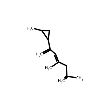 C=C(C)C/C(C)=C/C(=C)C1CC1C